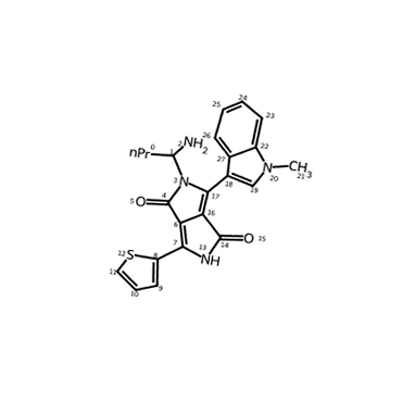 CCCC(N)N1C(=O)C2=C(c3cccs3)NC(=O)C2=C1c1cn(C)c2ccccc12